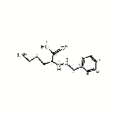 NCCC[C@H](NOCc1ccccc1)C(=O)O